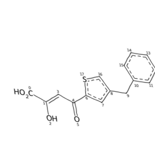 O=C(O)C(O)=CC(=O)c1cc(Cc2ccccc2)cs1